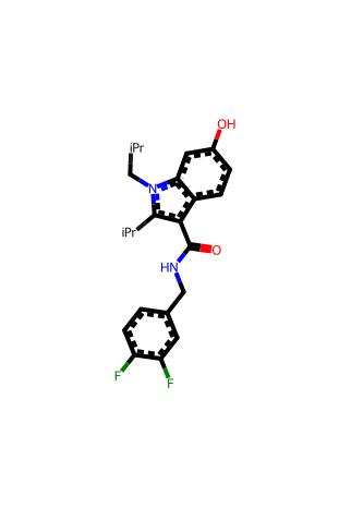 CC(C)Cn1c(C(C)C)c(C(=O)NCc2ccc(F)c(F)c2)c2ccc(O)cc21